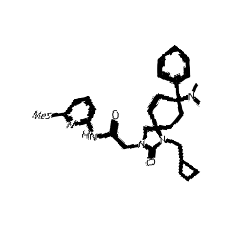 CSc1cccc(NC(=O)CN2CC3(CCC(c4ccccc4)(N(C)C)CC3)N(CC3CCC3)C2=O)n1